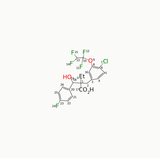 CCC(Cc1ccc(Cl)c(OC(F)(F)C(F)F)c1)(C(=O)O)C(O)c1ccc(F)cc1